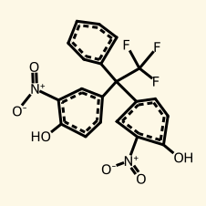 O=[N+]([O-])c1cc(C(c2ccccc2)(c2ccc(O)c([N+](=O)[O-])c2)C(F)(F)F)ccc1O